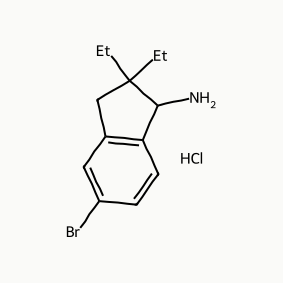 CCC1(CC)Cc2cc(Br)ccc2C1N.Cl